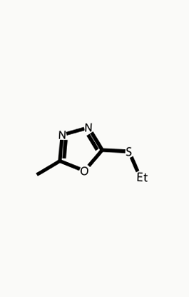 CCSc1nnc(C)o1